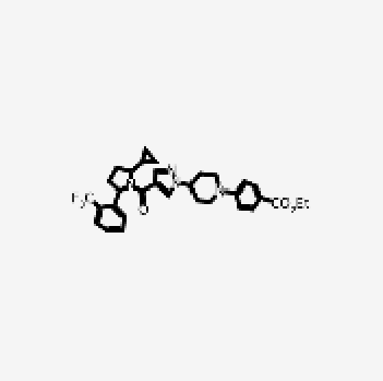 CCOC(=O)c1ccc(N2CCC(n3cc(C(=O)N4C(c5ccccc5C(F)(F)F)CCC4C4CC4)cn3)CC2)cc1